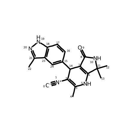 [C-]#[N+]C1=C(C)NC2=C(C(=O)NC2(C)C)C1c1ccc2[nH]nc(C)c2c1